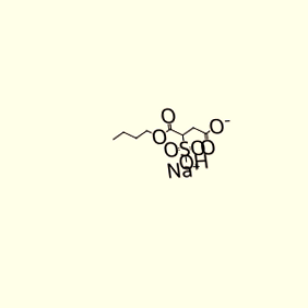 CCCCOC(=O)C(CC(=O)[O-])S(=O)(=O)O.[Na+]